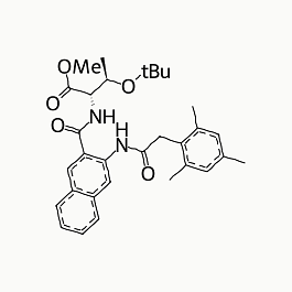 COC(=O)[C@@H](NC(=O)c1cc2ccccc2cc1NC(=O)Cc1c(C)cc(C)cc1C)[C@@H](C)OC(C)(C)C